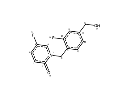 O=c1ccc(F)cn1Cc1ccc(CO)cc1F